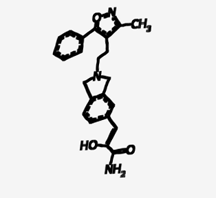 Cc1noc(-c2ccccc2)c1CCN1Cc2ccc(C=C(O)C(N)=O)cc2C1